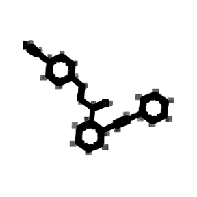 N#Cc1ccc(C=CC(=O)c2ccccc2C#Cc2ccccc2)cc1